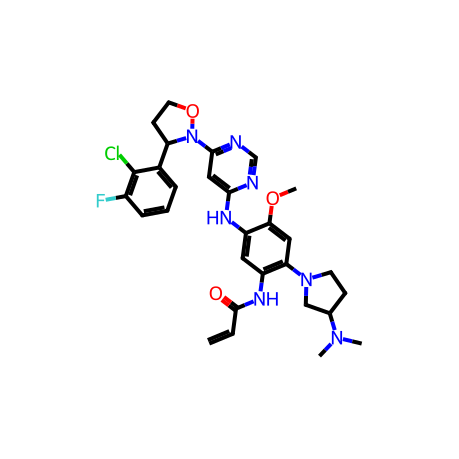 C=CC(=O)Nc1cc(Nc2cc(N3OCCC3c3cccc(F)c3Cl)ncn2)c(OC)cc1N1CCC(N(C)C)C1